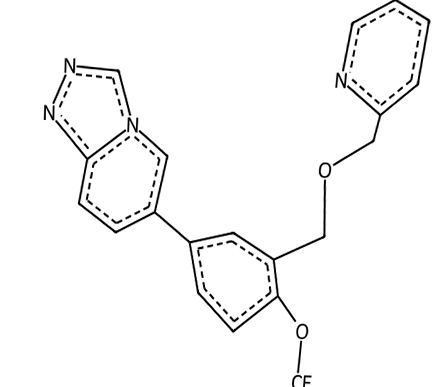 FC(F)(F)Oc1ccc(-c2ccc3nncn3c2)cc1COCc1ccccn1